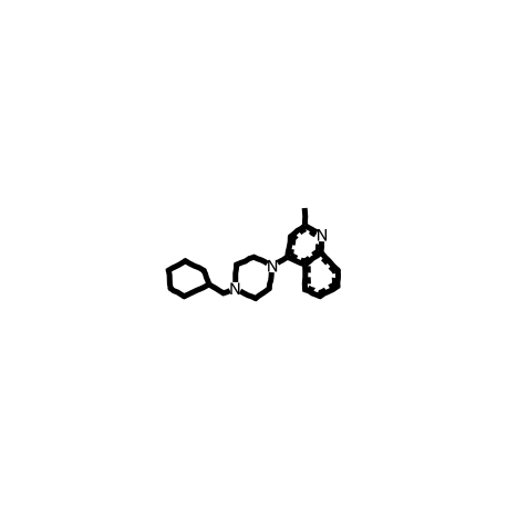 Cc1cc(N2CCN(CC3CCCCC3)CC2)c2ccccc2n1